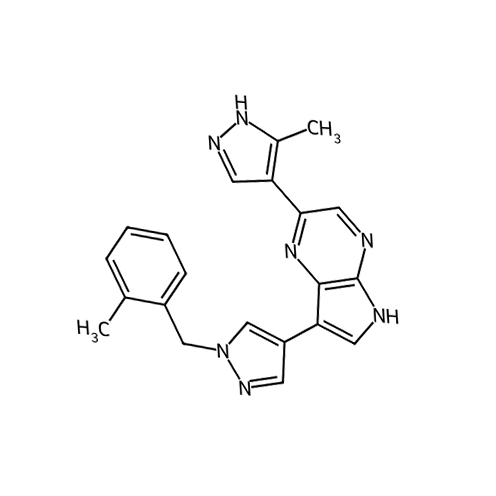 Cc1ccccc1Cn1cc(-c2c[nH]c3ncc(-c4cn[nH]c4C)nc23)cn1